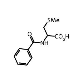 CSCC(NC(=O)c1ccccc1)C(=O)O